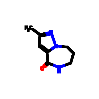 O=C1NCCCn2nc(C(F)(F)F)cc21